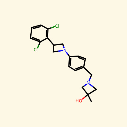 CC1(O)CN(Cc2ccc(N3CC(c4c(Cl)cccc4Cl)C3)cc2)C1